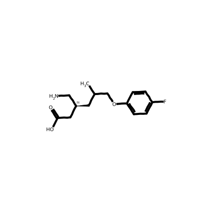 CC(COc1ccc(F)cc1)C[C@H](CN)CC(=O)O